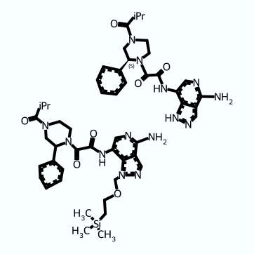 CC(C)C(=O)N1CCN(C(=O)C(=O)Nc2cnc(N)c3cn[nH]c23)[C@@H](c2ccccc2)C1.CC(C)C(=O)N1CCN(C(=O)C(=O)Nc2cnc(N)c3cnn(COCC[Si](C)(C)C)c23)C(c2ccccc2)C1